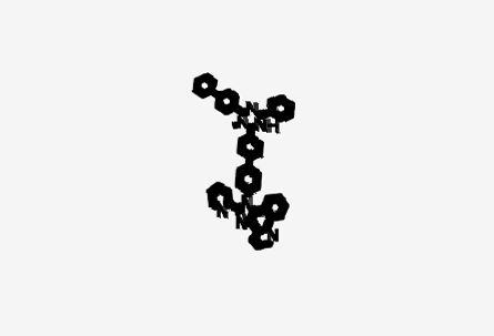 CN1C(c2ccc(-c3ccccc3)cc2)=NC(c2ccccc2)NC1c1ccc(-c2ccc(-n3c(-c4ccccn4)nc4c5cccnc5c5ccccc5c43)cc2)cc1